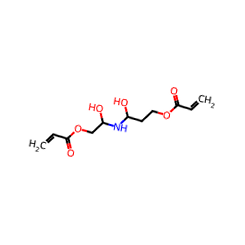 C=CC(=O)OCCC(O)NC(O)COC(=O)C=C